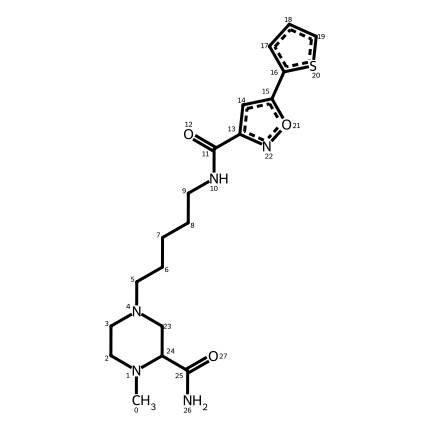 CN1CCN(CCCCCNC(=O)c2cc(-c3cccs3)on2)CC1C(N)=O